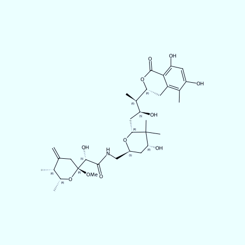 C=C1C[C@](OC)([C@H](O)C(=O)NC[C@@H]2C[C@@H](O)C(C)(C)[C@@H](C[C@H](O)[C@@H](C)[C@H]3Cc4c(C)c(O)cc(O)c4C(=O)O3)O2)O[C@H](C)[C@@H]1C